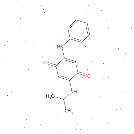 CC(C)NC1=CC(=O)C(Nc2ccccc2)=CC1=O